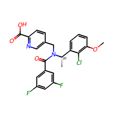 COc1cccc([C@H](C)N(Cc2ccc(C(=O)O)nc2)C(=O)c2cc(F)cc(F)c2)c1Cl